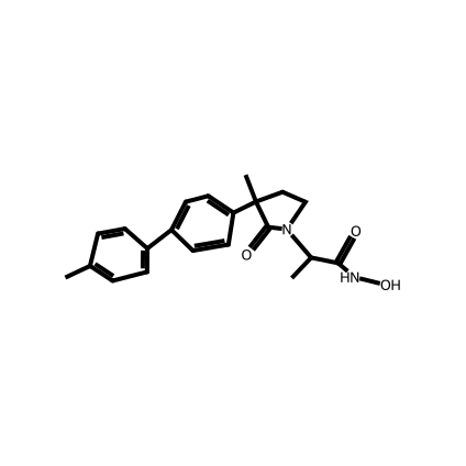 Cc1ccc(-c2ccc(C3(C)CCN(C(C)C(=O)NO)C3=O)cc2)cc1